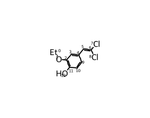 CCOc1cc(C=C(Cl)Cl)ccc1O